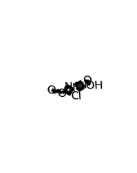 COCCOc1cnc(N2CCN(C(=O)O)CC2)c(Cl)c1